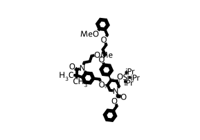 COCCCN1C(=O)C(C)(C)c2ccc(CO[C@H]3CN(C(=O)OCc4ccccc4)C[C@@H](O[Si](C(C)C)(C(C)C)C(C)C)[C@@H]3c3ccc(OCCCOCc4ccccc4OC)cc3)cc21